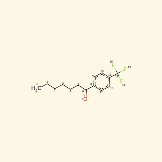 [CH2]CCCCCC(=O)c1ccc(C(F)(F)F)cc1